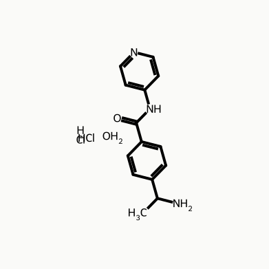 CC(N)c1ccc(C(=O)Nc2ccncc2)cc1.Cl.Cl.O